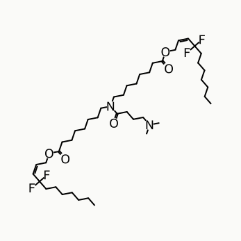 CCCCCCCC(F)(F)/C=C\COC(=O)CCCCCCCN(CCCCCCCC(=O)OC/C=C\C(F)(F)CCCCCCC)C(=O)CCCN(C)C